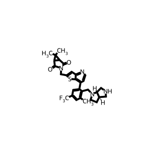 Cc1cc(C(F)(F)F)cc(-c2ccnc3cc(CN4C(=O)C5C(C4=O)C5(C)C)sc23)c1CN1CC[C@@H]2CNC[C@@H]21